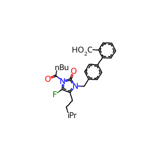 CCCCC(=O)n1c(F)c(CCC(C)C)n(Cc2ccc(-c3ccccc3C(=O)O)cc2)c1=O